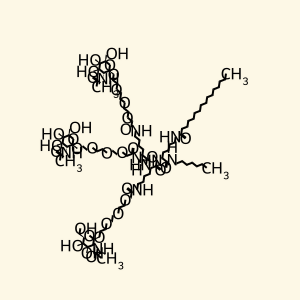 CCCCCCCCCCCCCCCC(=O)NCCCCC(NC(=O)C(CCCCNC(=O)COCCOCCOCCO[C@@H]1O[C@H](CO)[C@H](O)[C@H](O)[C@H]1NC(C)=O)NC(=O)C(CCCCNC(=O)COCCOCCOCCO[C@@H]1O[C@H](CO)[C@H](O)[C@H](O)[C@H]1NC(C)=O)NC(=O)COCCOCCOCCO[C@@H]1O[C@H](CO)[C@H](O)[C@H](O)[C@H]1NC(C)=O)C(=O)NCCCCCCC